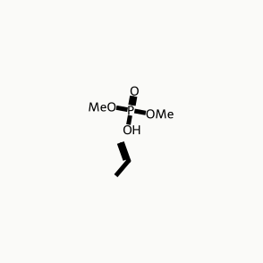 C=CC.COP(=O)(O)OC